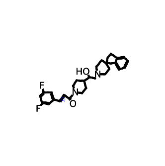 O=C(/C=C/c1cc(F)cc(F)c1)N1CCC(C(O)CN2CCC3(CCc4ccccc43)CC2)CC1